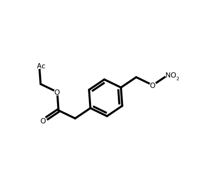 [CH2]C(=O)COC(=O)Cc1ccc(CO[N+](=O)[O-])cc1